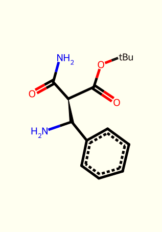 CC(C)(C)OC(=O)[C@H](C(N)=O)C(N)c1ccccc1